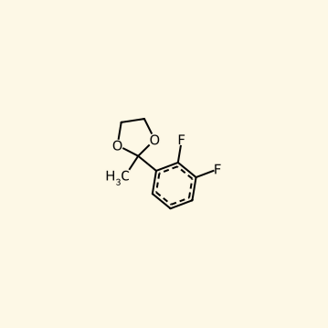 CC1(c2cccc(F)c2F)OCCO1